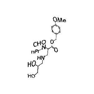 CCCN(C=O)C(CNCC(O)CO)C(=O)OCc1ccc(OC)cc1